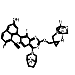 C#Cc1c(F)ccc2cc(O)cc(-c3c(F)cc4c(N5CC6CCC(C5)N6)nc(OCC5(CN6C[C@H]7C[C@@H]6CO7)CC5)nc4c3F)c12